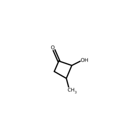 CC1CC(=O)C1O